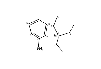 CC[SiH](CC)CC.Pc1ccccc1